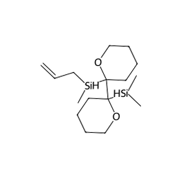 C=CC[SiH](C)C1(C2([SiH](C)C)CCCCO2)CCCCO1